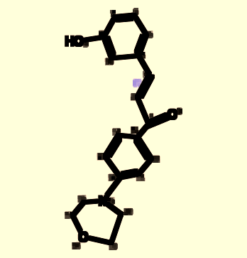 O=C(/C=C/c1cccc(O)c1)c1ccc(N2CCOCC2)cc1